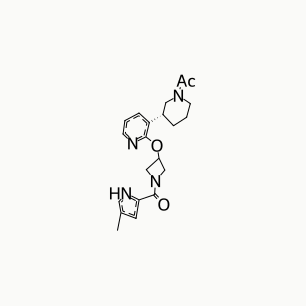 CC(=O)N1CCC[C@H](c2cccnc2OC2CN(C(=O)c3cc(C)c[nH]3)C2)C1